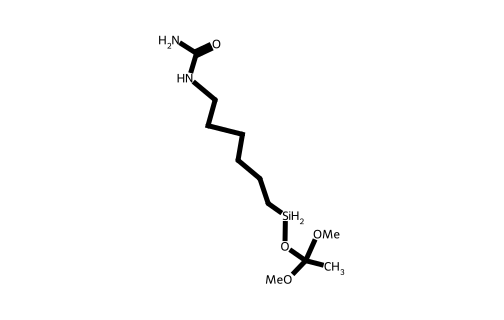 COC(C)(OC)O[SiH2]CCCCCCNC(N)=O